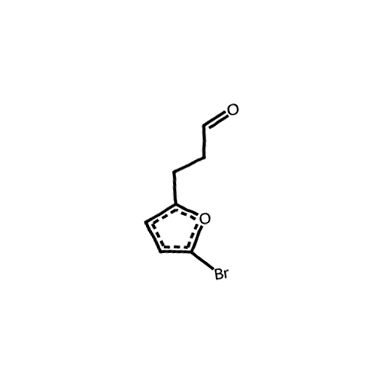 O=CCCc1ccc(Br)o1